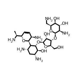 C[C@H](N)[C@@H]1C=C[C@@H](N)[C@@H](C2[C@@H](N)C[C@@H](N)[C@H](O)[C@H]2O[C@@H]2O[C@H](CO)[C@@H](O[C@H]3O[C@@H](CN)[C@@H](O)[C@H](O)[C@H]3N)[C@H]2O)O1